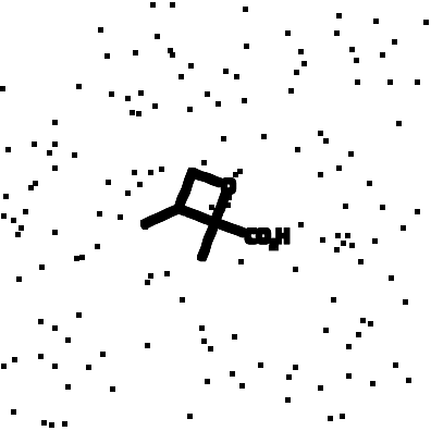 CC1COC1(C)C(=O)O